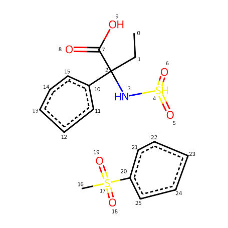 CCC(N[SH](=O)=O)(C(=O)O)c1ccccc1.CS(=O)(=O)c1ccccc1